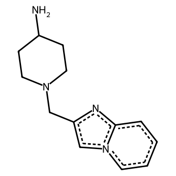 NC1CCN(Cc2cn3ccccc3n2)CC1